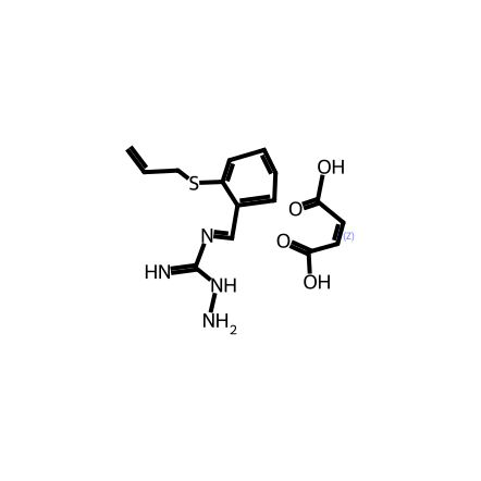 C=CCSc1ccccc1C=NC(=N)NN.O=C(O)/C=C\C(=O)O